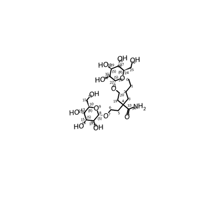 CCCCC(CCO[C@H]1O[C@H](CO)[C@@H](O)[C@H](O)[C@@H]1O)(CCO[C@H]1O[C@H](CO)[C@@H](O)[C@H](O)[C@@H]1O)C(N)=O